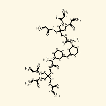 C=CC(=O)OCC(COC(=O)C=C)(COC(=O)C=C)COC(=O)N(C)C1CCCC(CC2CCCC(N(C)C(=O)OCC(COC(=O)C=C)(COC(=O)C=C)COC(=O)C=C)C2)C1